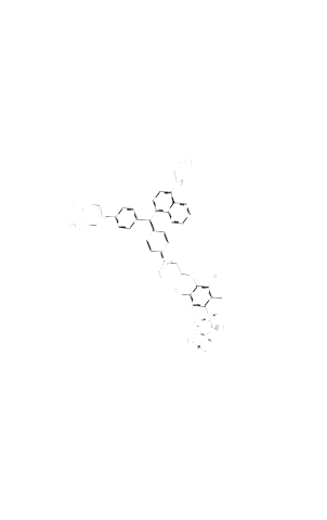 CCNc1ccc(C(=C2C=CC(=[N+](CC)CCOc3c(F)c(F)c(S(=O)(=O)NS(=O)(=O)C(F)(F)F)c(F)c3F)C=C2)c2ccc(N(CC)CC)cc2)c2ccccc12